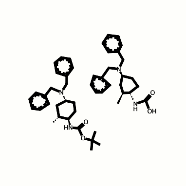 C[C@@H]1C[C@H](N(Cc2ccccc2)Cc2ccccc2)CC[C@H]1NC(=O)OC(C)(C)C.C[C@H]1C[C@@H](N(Cc2ccccc2)Cc2ccccc2)CC[C@@H]1NC(=O)O